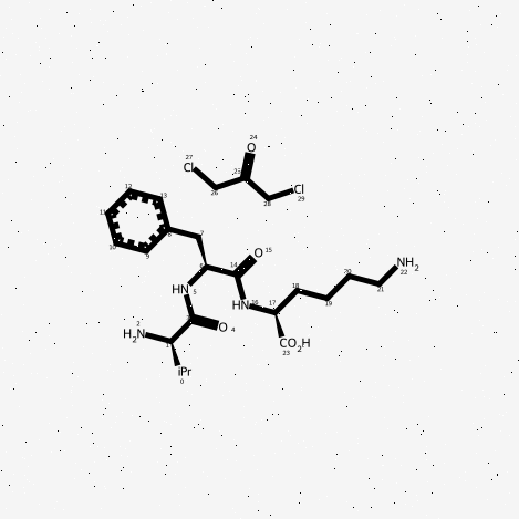 CC(C)[C@@H](N)C(=O)N[C@@H](Cc1ccccc1)C(=O)N[C@@H](CCCCN)C(=O)O.O=C(CCl)CCl